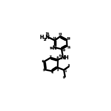 CC(C)c1ccccc1Nc1cccc(N)n1